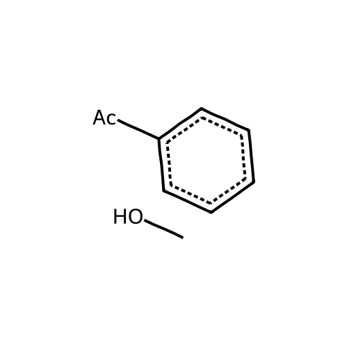 CC(=O)c1ccccc1.CO